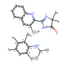 CC(C)C1(C)N=C(c2nc3ccccc3cc2C(=O)O)NC1=O.CCC(CC)Nc1c([N+](=O)[O-])cc(C)c(C)c1[N+](=O)[O-]